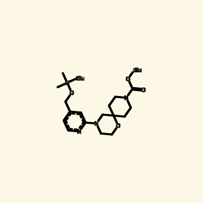 CC(C)(C)OC(=O)N1CCC2(CC1)CN(c1cc(CO[Si](C)(C)C(C)(C)C)ccn1)CCO2